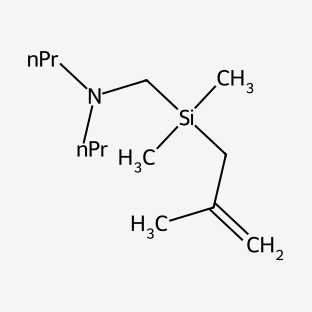 C=C(C)C[Si](C)(C)CN(CCC)CCC